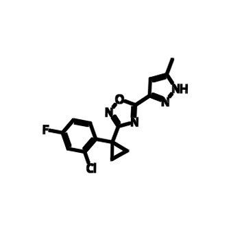 Cc1cc(-c2nc(C3(c4ccc(F)cc4Cl)CC3)no2)n[nH]1